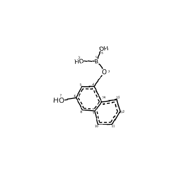 OB(O)Oc1cc(O)cc2ccccc12